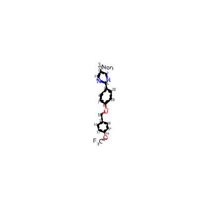 CCCCCCCCCc1cnc(-c2ccc(OCc3ccc(OC(F)(F)F)cc3)cc2)nc1